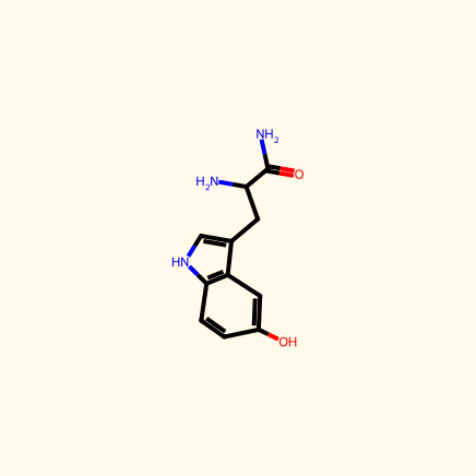 NC(=O)C(N)Cc1c[nH]c2ccc(O)cc12